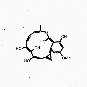 COc1cc(O)c2/c(c1)=C1C=C\1\C=C(O)/C(O)=C(O)/C=C\C=C(\C)O/C=2O